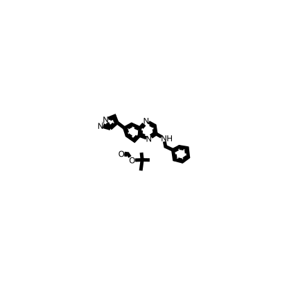 CC(C)(C)OC=O.c1ccc(CNc2cnc3cc(-c4cn5nc4-5)ccc3n2)cc1